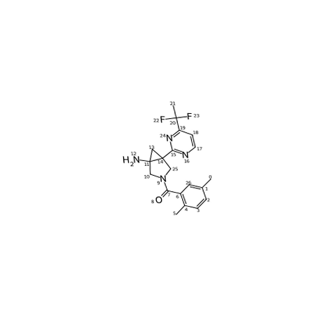 Cc1ccc(C)c(C(=O)N2CC3(N)CC3(c3nccc(C(C)(F)F)n3)C2)c1